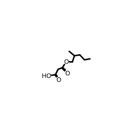 CCCC(C)COC(=O)CC(=O)O